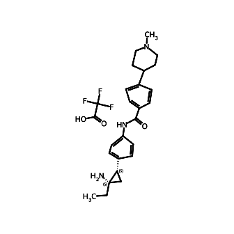 CC[C@]1(N)C[C@H]1c1ccc(NC(=O)c2ccc(C3CCN(C)CC3)cc2)cc1.O=C(O)C(F)(F)F